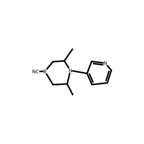 CC1CB(C#N)CC(C)N1c1cccnc1